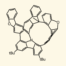 CC(C)(C)c1cc(-c2ccc3c(c2)oc2ccccc23)c2c(c1)c1cc(C(C)(C)C)cc3c1n2-c1ccc2c(c1)C(C)(c1ccccc1-2)c1cccc2oc4cc-3ccc4c12